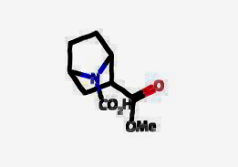 COC(=O)C1CC2CCC1N2C(=O)O